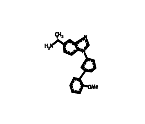 COc1ccccc1-c1cccc(-n2cnc3cc([C@@H](C)N)ccc32)c1